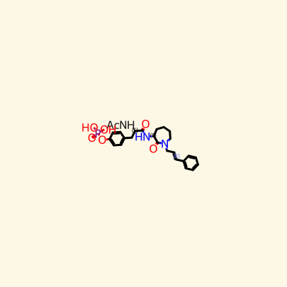 CC(=O)N[C@@H](Cc1ccc(OP(=O)(O)O)cc1)C(=O)N[C@H]1CCCCN(C/C=C/c2ccccc2)C1=O